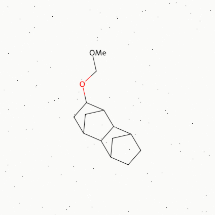 COCOC1CC2CC1C1C3CCC(C3)C21